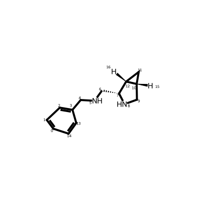 c1ccc(CNC[C@H]2NC[C@H]3C[C@H]32)cc1